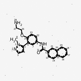 Cn1nccc1-c1cc(NC(=O)c2ccc3ccccc3c2)ccc1OCCN